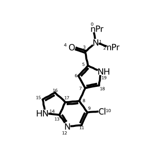 CCCN(CCC)C(=O)c1cc(-c2c(Cl)cnc3[nH]ccc23)c[nH]1